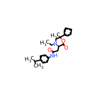 CCN1CC(C)(c2ccccc2)OC(=O)C1CC(=O)Nc1ccc(C(C)C)cc1